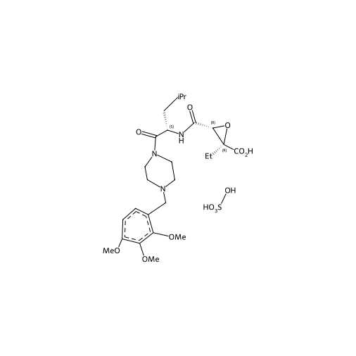 CC[C@@]1(C(=O)O)O[C@H]1C(=O)N[C@@H](CC(C)C)C(=O)N1CCN(Cc2ccc(OC)c(OC)c2OC)CC1.O=S(=O)(O)O